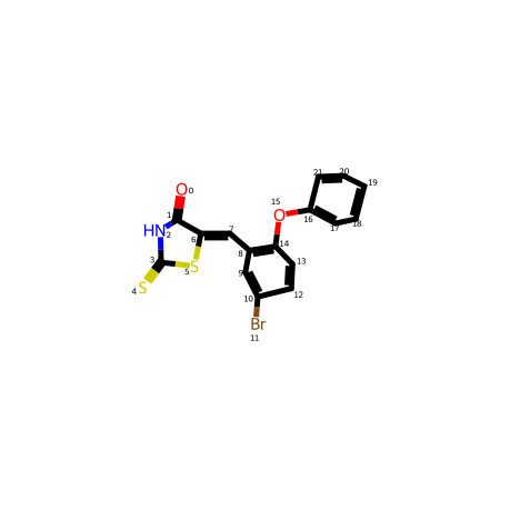 O=C1NC(=S)S/C1=C\c1cc(Br)ccc1Oc1ccccc1